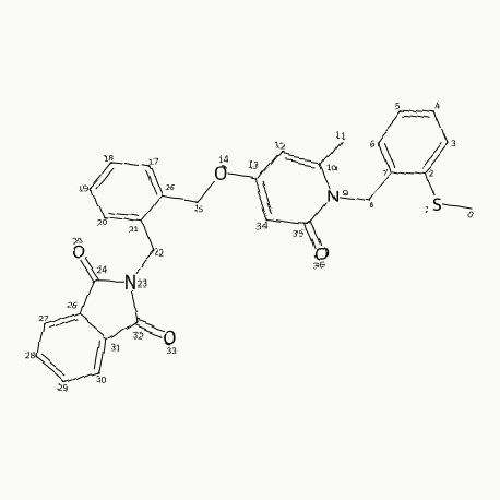 CSc1ccccc1Cn1c(C)cc(OCc2ccccc2CN2C(=O)c3ccccc3C2=O)cc1=O